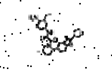 CCc1cc(NC(=O)C(=O)N2C[C@@H](C)CC[C@@H]2c2ccc3sc([C@H]4CCOC4)nc3c2)cnc1N